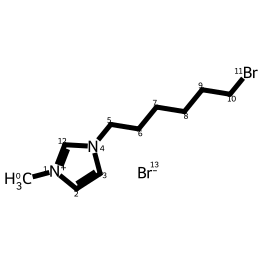 C[n+]1ccn(CCCCCCBr)c1.[Br-]